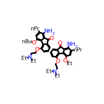 CCCCOc1cc(CCC)c(N)c2c1-c1c(OCCN(CC)CC)cccc1C2=O.CCCc1cc(OCC)c2c(c1N)C(=O)c1cccc(OCCN(CC)CC)c1-2